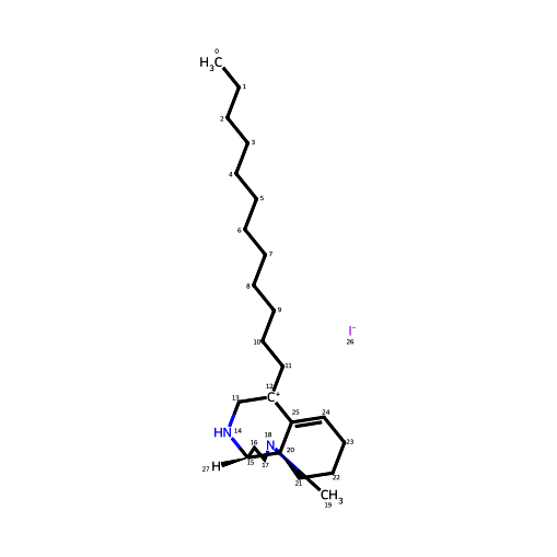 CCCCCCCCCCCC[C+]1CN[C@@H]2CCN(C)[C@@]23CCCC=C13.[I-]